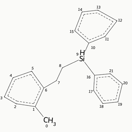 Cc1ccccc1CC[SiH](c1ccccc1)c1ccccc1